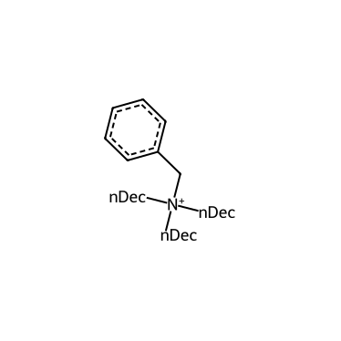 CCCCCCCCCC[N+](CCCCCCCCCC)(CCCCCCCCCC)Cc1ccccc1